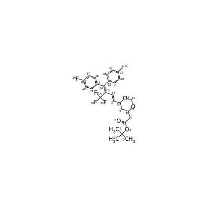 CC(C)(C)OC(=O)CC1CC(C=CC(=C(c2ccc(F)cc2)c2ccc(F)cc2)C(F)(F)F)OCO1